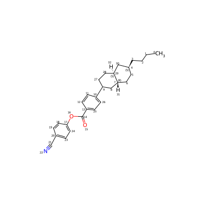 CCCC[C@H]1CC[C@@H]2CC(c3ccc(C(=O)Oc4ccc(C#N)cc4)cc3)CC[C@H]2C1